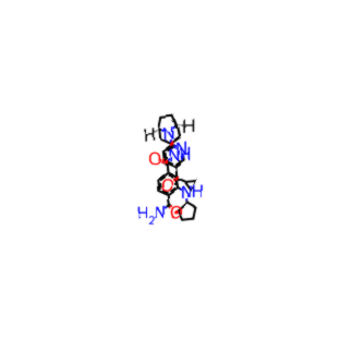 NC(=O)c1ccc(C(=O)N[C@H]2C[C@H]3CC[C@@H](C2)N3c2ccc(C(=O)C3CC3)cn2)cc1NC1CCCC1